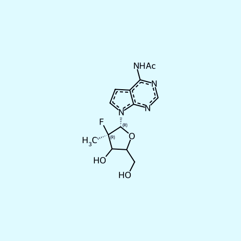 CC(=O)Nc1ncnc2c1ccn2[C@@H]1OC(CO)C(O)[C@@]1(C)F